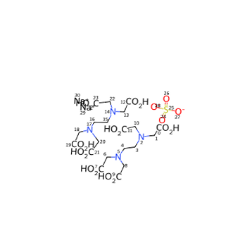 O=C(O)CN(CCN(CC(=O)O)CC(=O)O)CC(=O)O.O=C(O)CN(CCN(CC(=O)O)CC(=O)O)CC(=O)O.O=S(=O)([O-])[O-].[Na+].[Na+]